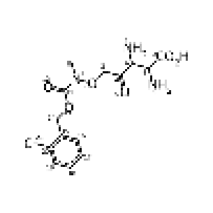 CN(OCC(=O)C(N)C(N)C(=O)O)C(=O)OCc1ccccc1Cl